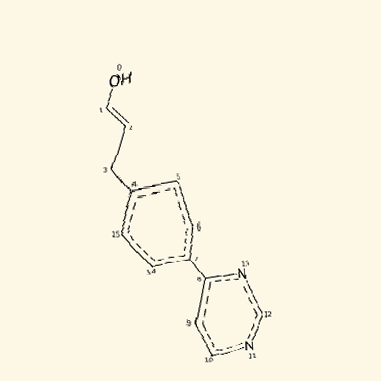 O/C=C/Cc1ccc(-c2ccncn2)cc1